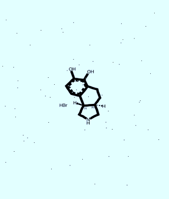 Br.Oc1ccc2c(c1O)CC[C@H]1CNC[C@H]21